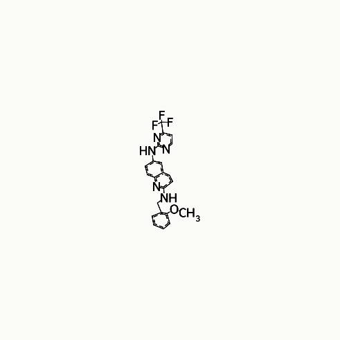 COc1ccccc1CNc1ccc2cc(Nc3nccc(C(F)(F)F)n3)ccc2n1